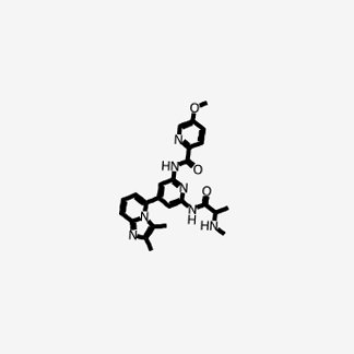 CNC(C)C(=O)Nc1cc(-c2cccc3nc(C)c(C)n23)cc(NC(=O)c2ccc(OC)cn2)n1